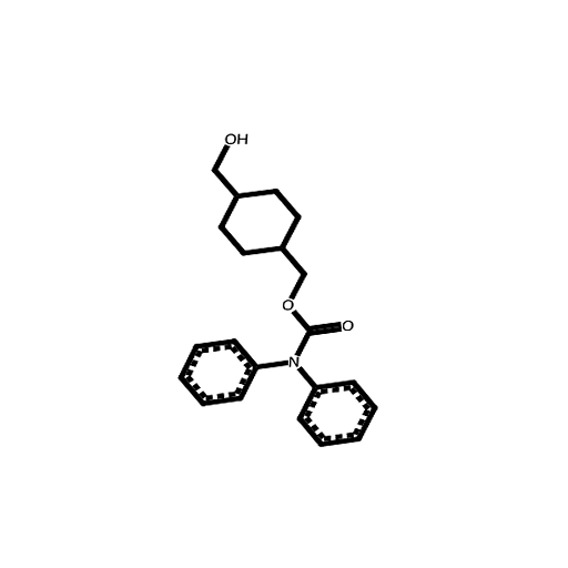 O=C(OCC1CCC(CO)CC1)N(c1ccccc1)c1ccccc1